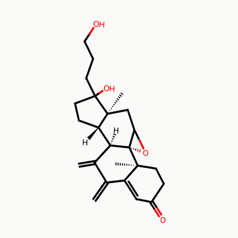 C=C1C(=C)[C@H]2[C@@H]3CCC(O)(CCCO)[C@@]3(C)CC3O[C@@]32[C@@]2(C)CCC(=O)C=C12